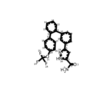 NC(=O)c1cc(-c2cccc(-c3ccccc3-c3ccc(OC(F)(F)F)cc3)c2)n[nH]1